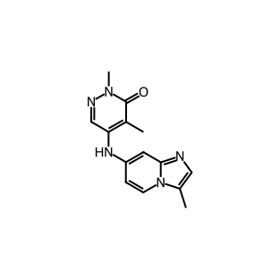 Cc1c(Nc2ccn3c(C)cnc3c2)cnn(C)c1=O